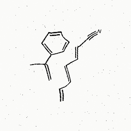 C=C(C)c1ccccc1.C=CC=CC=CC#N